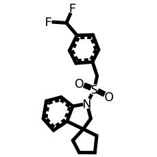 O=S(=O)(Cc1ccc(C(F)F)cc1)N1CC2(CCCC2)c2ccccc21